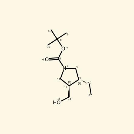 CC[C@H]1CN(C(=O)OC(C)(C)C)C[C@@H]1CO